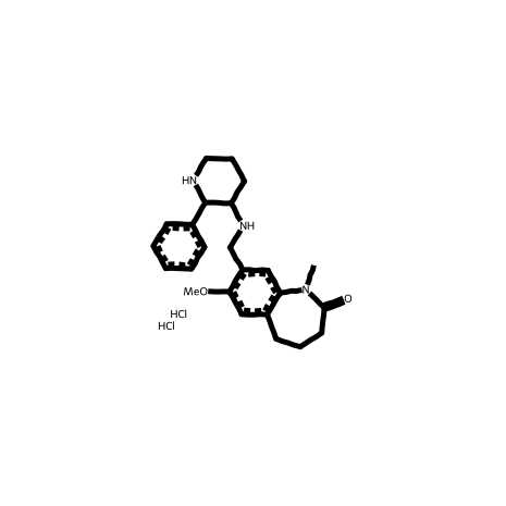 COc1cc2c(cc1CNC1CCCNC1c1ccccc1)N(C)C(=O)CCC2.Cl.Cl